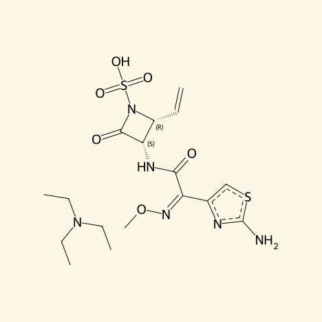 C=C[C@@H]1[C@H](NC(=O)C(=NOC)c2csc(N)n2)C(=O)N1S(=O)(=O)O.CCN(CC)CC